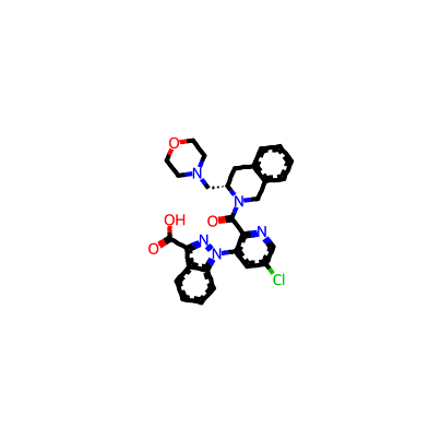 O=C(O)c1nn(-c2cc(Cl)cnc2C(=O)N2Cc3ccccc3C[C@H]2CN2CCOCC2)c2ccccc12